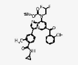 Cc1cc(-c2cnc3c(N(CC(F)F)C(=O)OC(C)(C)C)cc(C(=O)c4ccccc4O)cn23)ccc1C(=O)NC1CC1